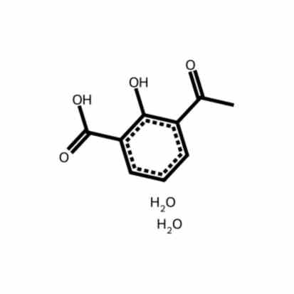 CC(=O)c1cccc(C(=O)O)c1O.O.O